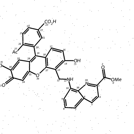 COC(=O)c1ccc2cccc(NCc3c(O)ccc4c(-c5cc(C(=O)O)ccc5C(C)=O)c5cc(Cl)c(=O)cc-5oc34)c2n1